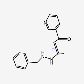 C/C(=C\C(=O)c1cccnc1)NNCc1ccccc1